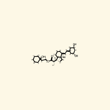 C[C@H](C(=O)OCCC1(O)CCCCC1)[C@H]1CC[C@H]2/C(=C/C=C3C[C@@H](O)C[C@H](O)C3)CCC[C@]12C